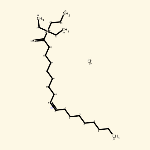 CCCCCCCC/C=C\CCCCCCCC(=O)[N+](CC)(CC)CCN.[Cl-]